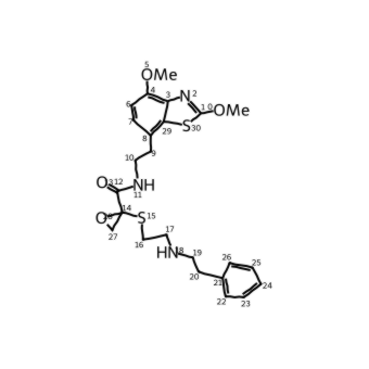 COc1nc2c(OC)ccc(CCNC(=O)C3(SCCNCCc4ccccc4)CO3)c2s1